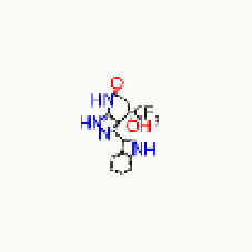 O=C1CC(O)(C(F)(F)F)c2c(-c3c[nH]c4ccccc34)n[nH]c2N1